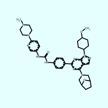 COC1CCC(n2ncc3c(N4CC5CCC(C4)O5)nc(-c4ccc(NC(=O)Nc5ccc(N6CCN(C)CC6)nc5)cc4)nc32)CC1